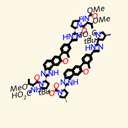 COC(=O)N[C@H](C(=O)N1[C@@H](C)CC[C@H]1c1ncc(-c2ccc3c(c2)COc2cc4c(ccc5nc([C@@H]6CC[C@H](C)N6C(=O)[C@@H](NC(=O)O)[C@@H](C)OC)[nH]c54)cc2-3)[nH]1)[C@@H](C)OC.C[C@@H]1CN(C(=O)O)[C@](c2ncc(-c3ccc4c(c3)COc3cc5c(ccc6nc([C@@H]7C[C@H](C)CN7C(=O)OC(C)(C)C)[nH]c65)cc3-4)[nH]2)(C(C)(C)C)C1